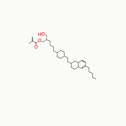 C=C(C)C(=O)OCC(CO)CCCCC1CCC(CCC2CCC3C=C(CCCCC)C=CC3C2)CC1